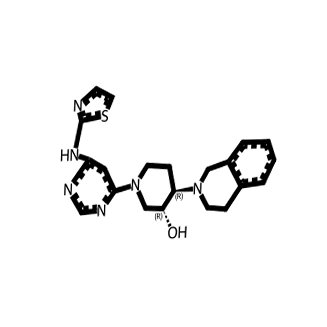 O[C@@H]1CN(c2cc(Nc3nccs3)ncn2)CC[C@H]1N1CCc2ccccc2C1